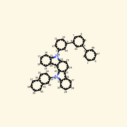 c1ccc(-c2cccc(-c3cccc(-n4c5ccccc5c5c4ccc4c6ccccc6n(-c6ccc7ccccc7c6)c45)c3)c2)cc1